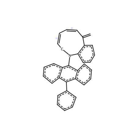 C=C1/C=C\C=C/CN(c2c3ccccc3c(-c3ccccc3)c3ccccc23)c2ccccc21